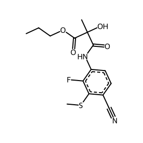 CCCOC(=O)C(C)(O)C(=O)Nc1ccc(C#N)c(SC)c1F